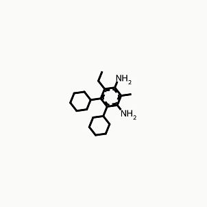 CCc1c(N)c(C)c(N)c(C2CCCCC2)c1C1CCCCC1